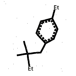 CCc1ccc(CC(C)(C)CC)cc1